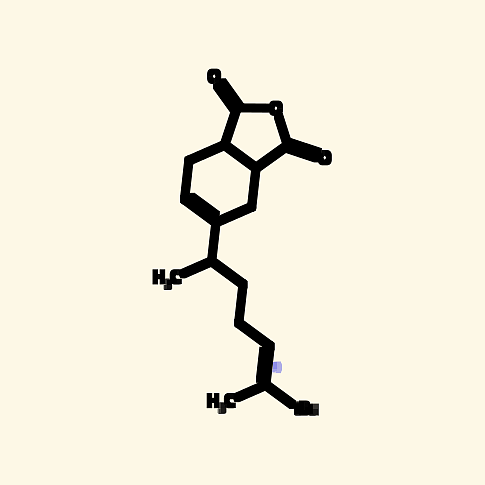 C/C(=C\CCC(C)C1=CCC2C(=O)OC(=O)C2C1)C(C)(C)C